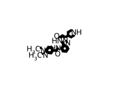 CCn1c(C)nc2cc(C(=O)Nc3cccc4nn5c(C6CCNCC6)cc(=O)[nH]c5c34)ccc21